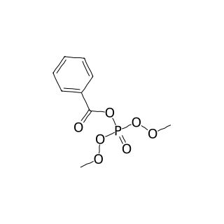 COOP(=O)(OOC)OC(=O)c1ccccc1